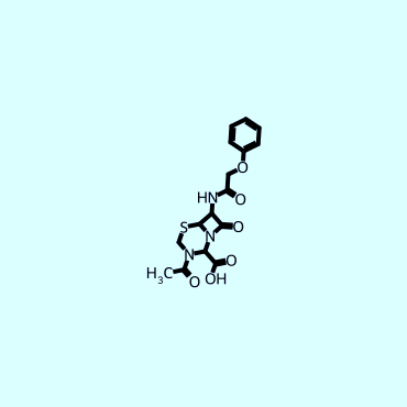 CC(=O)N1CSC2C(NC(=O)COc3ccccc3)C(=O)N2C1C(=O)O